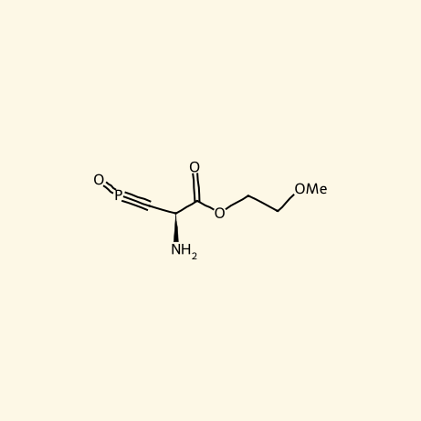 COCCOC(=O)[C@@H](N)C#P=O